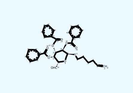 C=CCCCCS[C@H]1O[C@H](C=O)[C@H](OC(=O)c2ccccc2)[C@H](OC(=O)c2ccccc2)[C@H]1OC(=O)c1ccccc1